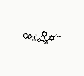 CCOc1ccc(-c2nnc(C3CC(NC(=O)c4cn5ccccc5n4)C3)n2-c2ccccc2F)nc1